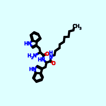 CCCCCCCCCCNC(=O)C(Cc1c[nH]c2ccccc12)NC(=O)C(N)Cc1c[nH]c2ccccc12